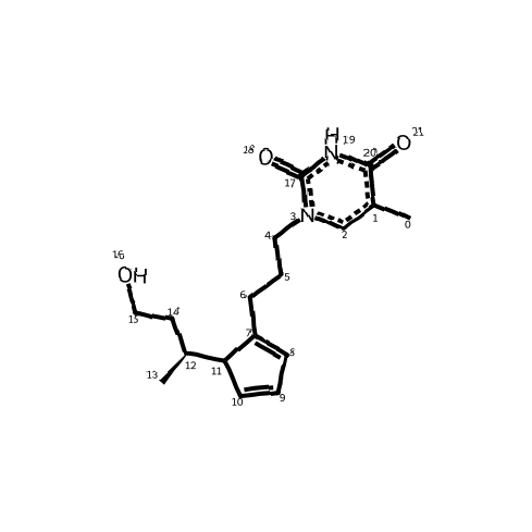 Cc1cn(CCCC2=CC=CC2[C@@H](C)CCO)c(=O)[nH]c1=O